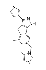 Cc1cc(Cn2cncc2C)cc2c1Cc1c(-c3ccsc3)n[nH]c1-2